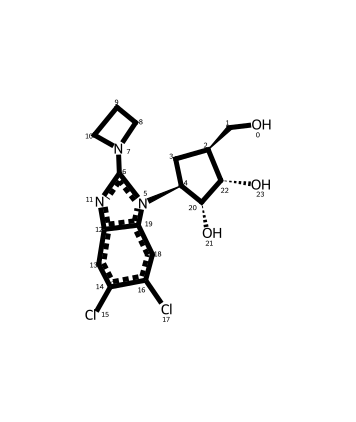 OC[C@@H]1C[C@H](n2c(N3CCC3)nc3cc(Cl)c(Cl)cc32)[C@@H](O)[C@H]1O